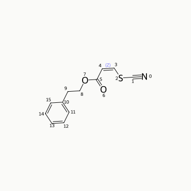 N#CS/C=C\C(=O)OCCc1ccccc1